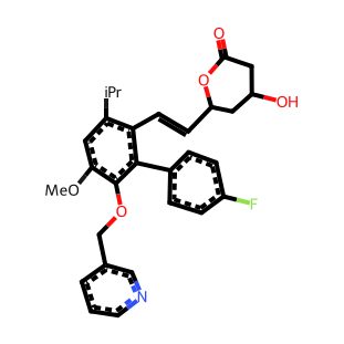 COc1cc(C(C)C)c(/C=C/C2CC(O)CC(=O)O2)c(-c2ccc(F)cc2)c1OCc1cccnc1